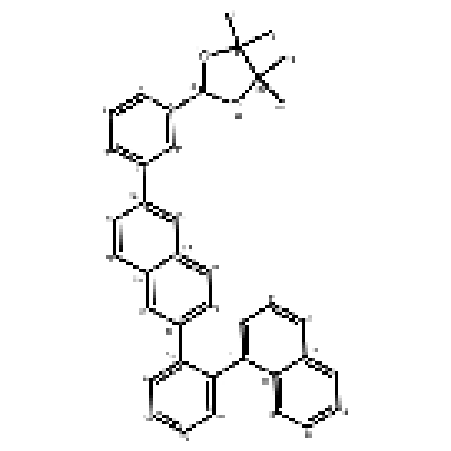 CC1(C)OB(c2cccc(-c3ccc4cc(-c5ccccc5-c5cccc6ccccc56)ccc4c3)c2)OC1(C)C